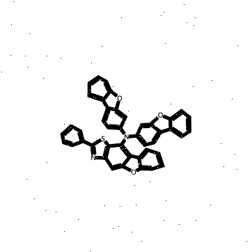 c1ccc(-c2nc3cc4oc5ccccc5c4c(N(c4ccc5c(c4)oc4ccccc45)c4ccc5c(c4)oc4ccccc45)c3s2)cc1